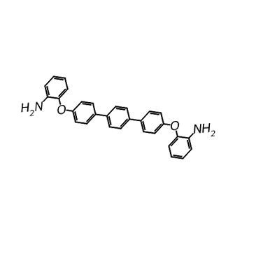 Nc1ccccc1Oc1ccc(-c2ccc(-c3ccc(Oc4ccccc4N)cc3)cc2)cc1